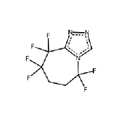 FC1(F)CCC(F)(F)C(F)(F)c2nncn21